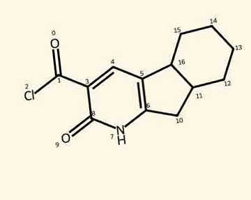 O=C(Cl)c1cc2c([nH]c1=O)CC1CCCCC21